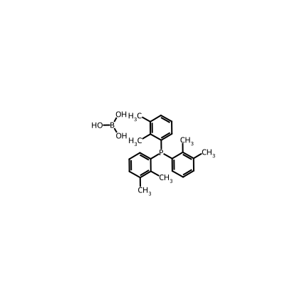 Cc1cccc(P(c2cccc(C)c2C)c2cccc(C)c2C)c1C.OB(O)O